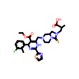 CCOC(=O)C1=C(CN2CCN3C(=S)N(CC(C)C(=O)O)CC3C2)NC(c2nccs2)=NC1c1cccc(F)c1C